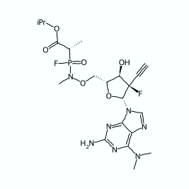 C#C[C@@]1(F)[C@H](O)[C@@H](CON(C)P(=O)(F)[C@@H](C)C(=O)OC(C)C)O[C@H]1n1cnc2c(N(C)C)nc(N)nc21